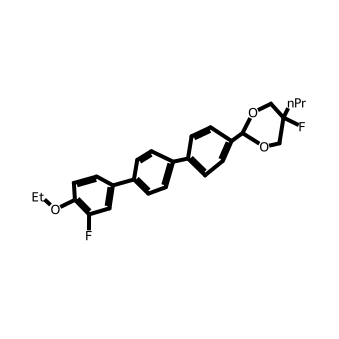 CCCC1(F)COC(c2ccc(-c3ccc(-c4ccc(OCC)c(F)c4)cc3)cc2)OC1